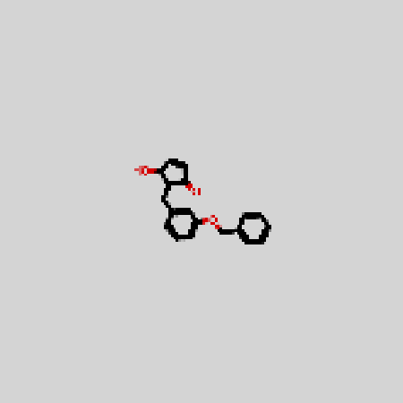 O=C1C=CC(O)C1Cc1cccc(OCc2ccccc2)c1